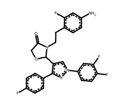 Nc1ccc(CCN2C(=O)COC2c2cn(-c3ccc(F)c(F)c3)nc2-c2ccc(F)cc2)c(F)c1